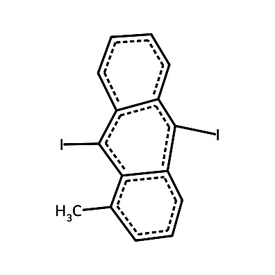 Cc1cccc2c(I)c3ccccc3c(I)c12